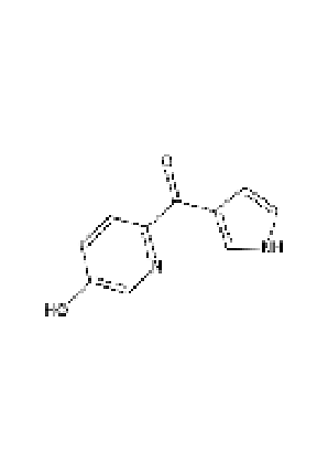 O=C(c1cc[nH]c1)c1ccc(O)cn1